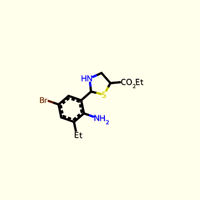 CCOC(=O)C1CNC(c2cc(Br)cc(CC)c2N)S1